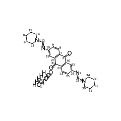 Cl.Cl.O.O.O.O=C1c2ccc(/N=C/N3CCCCC3)cc2C(=O)c2ccc(/N=C/N3CCCCC3)cc21